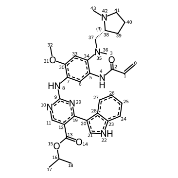 C=CC(=O)Nc1cc(Nc2ncc(C(=O)OC(C)C)c(-c3c[nH]c4ccccc34)n2)c(OC)cc1N(C)C[C@H]1CCCN1C